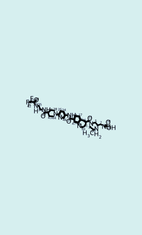 CC(N)CN(CCCNC(=O)O)C(=O)C1=Cc2ccc(C(=O)Nc3ccc(N4CCC(C(=O)NCCNC(=O)C(F)(F)F)CC4)nc3)cc2N=CC1